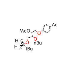 CCCCO[C@@H](CO[Si](C)(C)C(C)(C)C)[C@@H](COc1ccc(C(C)=O)cc1)OC